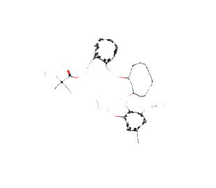 CCOc1cc(C)cc(OCC)c1OC1CCCCC1Oc1ccccc1OC(=O)C(C)(C)CC